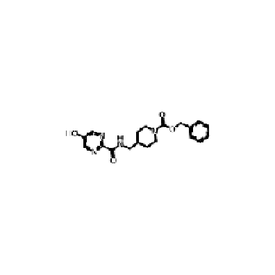 O=C(NCC1CCN(C(=O)OCc2ccccc2)CC1)c1ncc(O)cn1